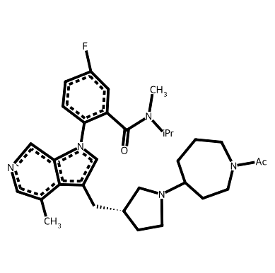 CC(=O)N1CCCC(N2CC[C@H](Cc3cn(-c4ccc(F)cc4C(=O)N(C)C(C)C)c4cncc(C)c34)C2)CC1